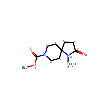 CC(C)(C)OC(=O)N1CCC2(CCC(=O)N2C(=O)O)CC1